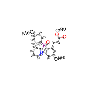 CCCCOC(=O)C=Cc1cc(OC)ccc1P(=O)(c1ccc(OC)cc1)c1ncccc1C